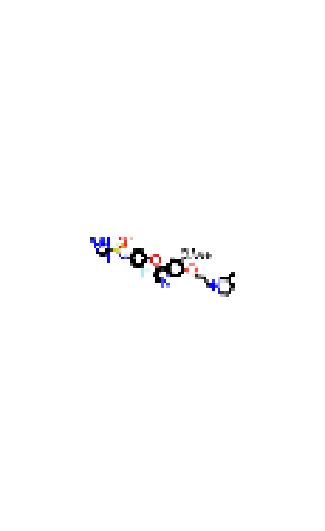 COc1cc2c(Oc3ccc(N[S+]([O-])c4ccn(C)n4)cc3F)ccnc2cc1OCCCN1CCCC(C)C1